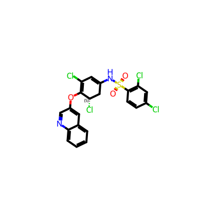 O=S(=O)(NC1=CC(Cl)=C(Oc2cnc3ccccc3c2)[C@@H](Cl)C1)c1ccc(Cl)cc1Cl